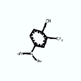 CCCN(c1ccc(C#N)c(C(F)(F)F)c1)C(C)CC